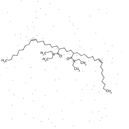 CCCCCCCC/C=C\CCCCCCC(CCCC(CCCCCC/C=C\CCCCCCCC)C(=O)N(CC)CC)C(=O)N(CC)CC